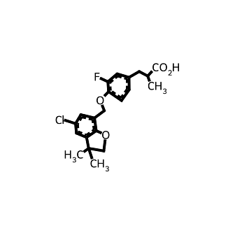 CC(Cc1ccc(OCc2cc(Cl)cc3c2OCC3(C)C)c(F)c1)C(=O)O